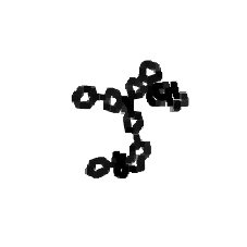 CC1(C)c2ccccc2-c2ccc(N(c3ccc(-c4ccccc4)cc3)c3ccc(-c4ccc5ccc6oc(-c7ccccc7)nc6c5c4)cc3)cc21